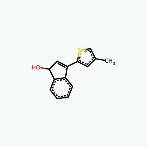 Cc1csc(C2=CC(O)c3ccccc32)c1